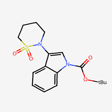 CC(C)(C)OC(=O)n1cc(N2CCCCS2(=O)=O)c2ccccc21